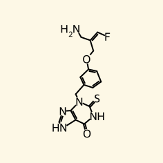 NC/C(=C/F)COc1cccc(Cn2c(=S)[nH]c(=O)c3[nH]cnc32)c1